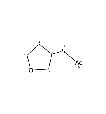 CC(=O)SC1CCOC1